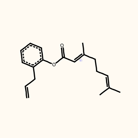 C=CCc1ccccc1OC(=O)/C=C(\C)CCC=C(C)C